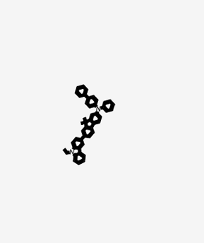 CCn1c2ccccc2c2cc(-c3ccc4c(c3)C(C)(C)c3cc(N(c5ccccc5)c5ccc(-c6ccccc6)cc5)ccc3-4)ccc21